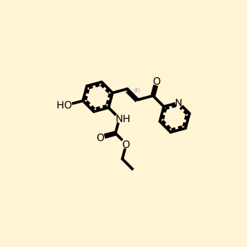 CCOC(=O)Nc1cc(O)ccc1/C=C/C(=O)c1ccccn1